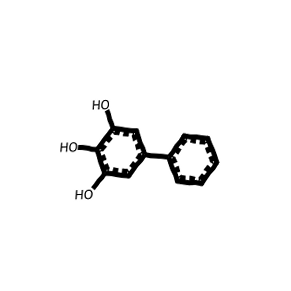 Oc1cc(-c2ccccc2)cc(O)c1O